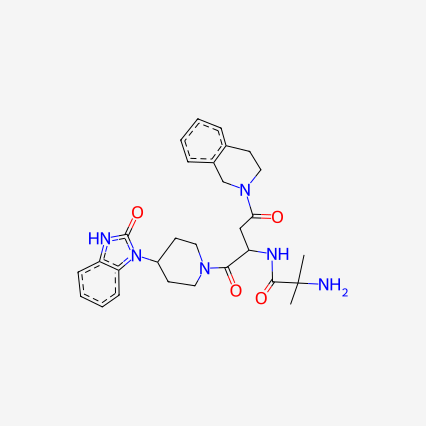 CC(C)(N)C(=O)NC(CC(=O)N1CCc2ccccc2C1)C(=O)N1CCC(n2c(=O)[nH]c3ccccc32)CC1